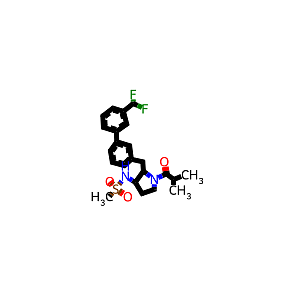 CC(C)C(=O)N1CCC(NS(C)(=O)=O)C1Cc1cccc(-c2cccc(C(F)F)c2)c1